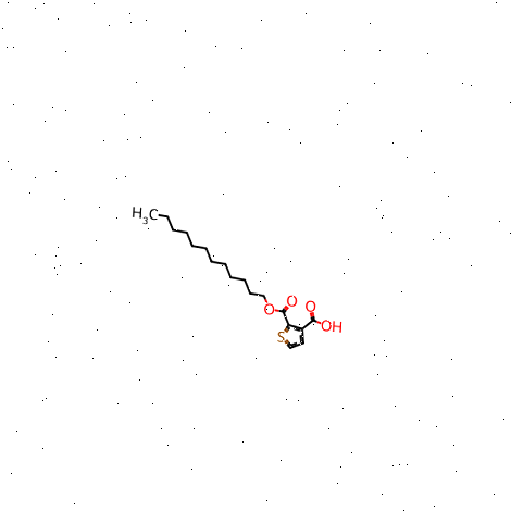 CCCCCCCCCCCCOC(=O)c1sccc1C(=O)O